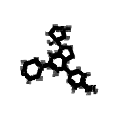 C[C@]1(N2CCc3c(-c4cnc(N)nc4)nc(N4CCOCC4)nc32)CCNC1